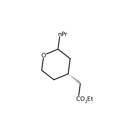 CCCC1C[C@H](CC(=O)OCC)CCO1